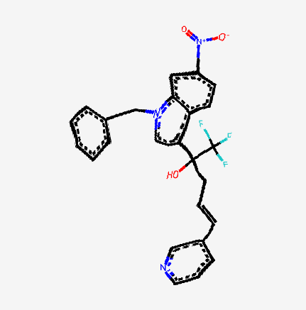 O=[N+]([O-])c1ccc2c(C(O)(CC=Cc3cccnc3)C(F)(F)F)cn(Cc3ccccc3)c2c1